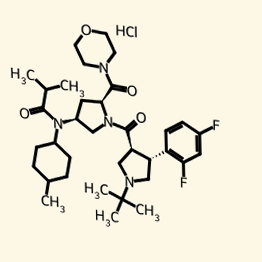 CC1CCC(N(C(=O)C(C)C)[C@H]2C[C@@H](C(=O)N3CCOCC3)N(C(=O)[C@@H]3CN(C(C)(C)C)C[C@H]3c3ccc(F)cc3F)C2)CC1.Cl